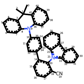 CC1(C)c2ccccc2N(c2ccc(-c3cccc(C#N)c3-n3c4ccccc4c4ccccc43)cc2)c2ccccc21